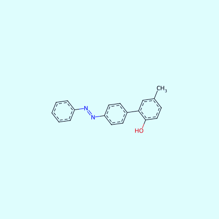 Cc1ccc(O)c(-c2ccc(/N=N/c3ccccc3)cc2)c1